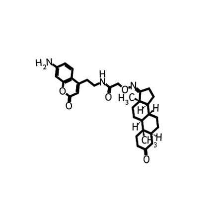 C[C@]12CCC(=O)C[C@@H]1CC[C@@H]1[C@@H]2CC[C@]2(C)/C(=N\OCC(=O)NCCc3cc(=O)oc4cc(N)ccc34)CC[C@@H]12